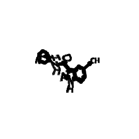 C#Cc1ccc2[nH]nc(C(=O)N[C@@H]3CN4CCC3CC4)c2c1